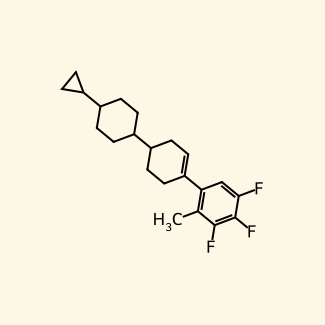 Cc1c(C2=CCC(C3CCC(C4CC4)CC3)CC2)cc(F)c(F)c1F